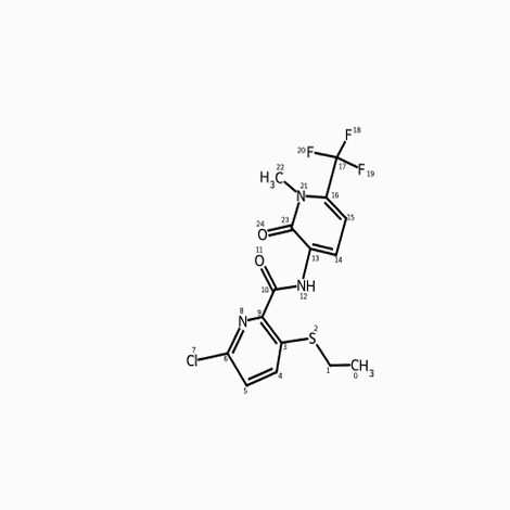 CCSc1ccc(Cl)nc1C(=O)Nc1ccc(C(F)(F)F)n(C)c1=O